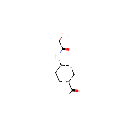 CC(=O)C1CCC(NC(=O)CO)CC1